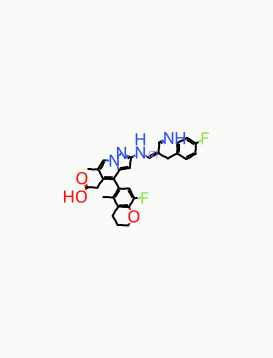 Cc1cn2nc(N/C=C(\C=N)Cc3ccc(F)cc3)cc2c(-c2cc(F)c3c(c2C)CCCO3)c1CC(=O)O